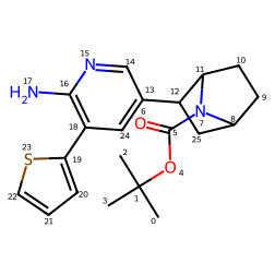 CC(C)(C)OC(=O)N1C2CCC1C(c1cnc(N)c(-c3cccs3)c1)C2